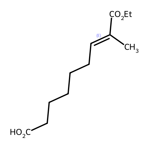 CCOC(=O)/C(C)=C/CCCCCC(=O)O